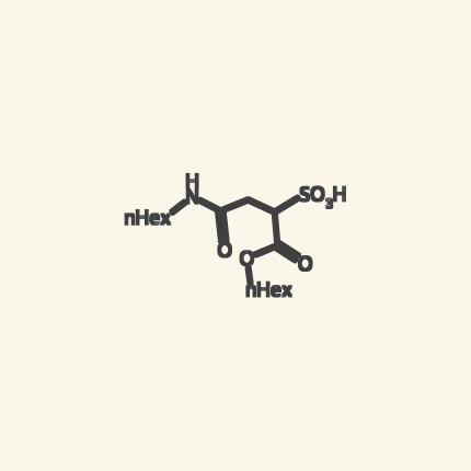 CCCCCCNC(=O)CC(C(=O)OCCCCCC)S(=O)(=O)O